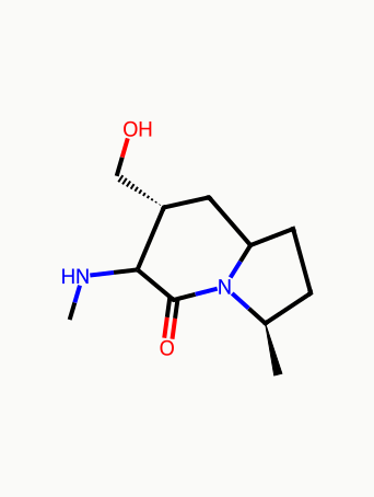 CNC1C(=O)N2C(CC[C@H]2C)C[C@H]1CO